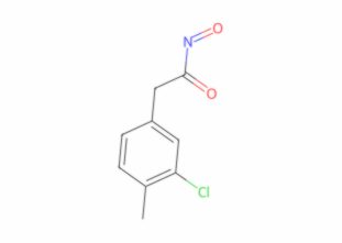 Cc1ccc(CC(=O)N=O)cc1Cl